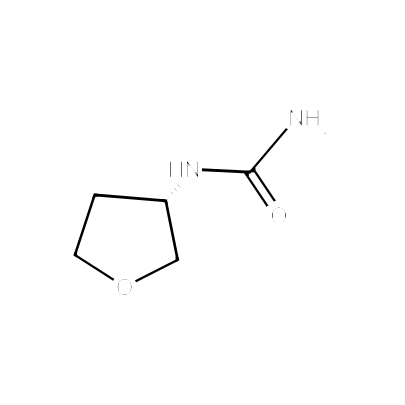 NC(=O)N[C@H]1CCOC1